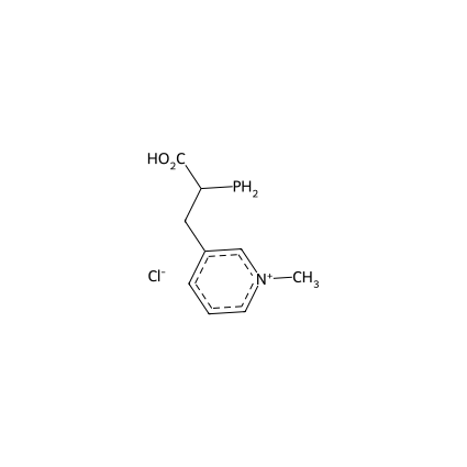 C[n+]1cccc(CC(P)C(=O)O)c1.[Cl-]